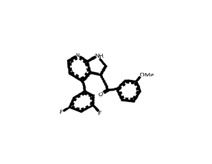 COc1cccc(C(=O)C2CNc3nccc(-c4cc(F)cc(F)c4)c32)c1